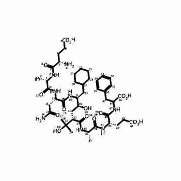 CC(C)[C@H](NC(=O)[C@@H](N)CCC(=O)O)C(=O)N[C@@H](CC(N)=O)C(=O)N[C@@H](CC1CCCCC1)[C@@H](O)C[C@H](C(=O)N[C@@H](C)C(=O)N[C@@H](CCC(=O)O)C(=O)NC(Cc1ccccc1)C(=O)O)C(C)(C)O